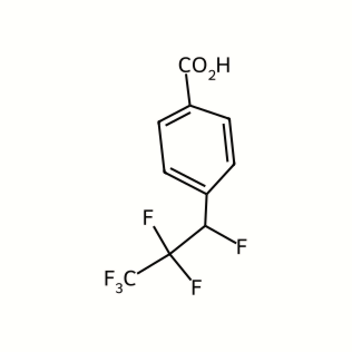 O=C(O)c1ccc(C(F)C(F)(F)C(F)(F)F)cc1